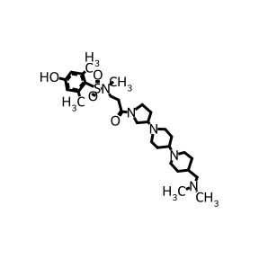 Cc1cc(O)cc(C)c1S(=O)(=O)N(C)CCC(=O)N1CCC(N2CCC(N3CCC(CN(C)C)CC3)CC2)C1